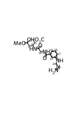 COC(=O)CC(CC(=O)O)NC(=O)CNC(=O)c1cccc(NC=NN)c1